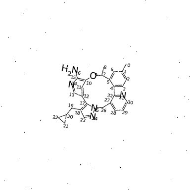 Cc1ccc2c(c1)C(C)Oc1cc(cnc1N)-c1c(CC3CC3)cnn1Cc1cccnc1-2